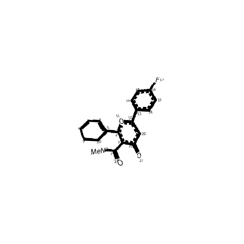 CNC(=O)c1c(C2=CC=CCC2)oc(-c2ccc(F)cc2)cc1=O